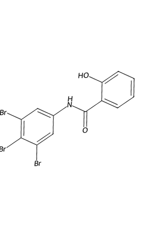 O=C(Nc1cc(Br)c(Br)c(Br)c1)c1ccccc1O